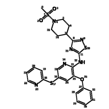 CS(=O)(=O)N1CCC(c2nsc(Nc3ncc(Sc4ccccn4)cc3Oc3ccccc3)n2)CC1